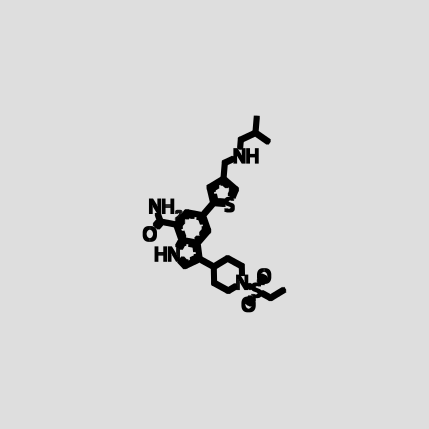 CCS(=O)(=O)N1CCC(c2c[nH]c3c(C(N)=O)cc(-c4cc(CNCC(C)C)cs4)cc23)CC1